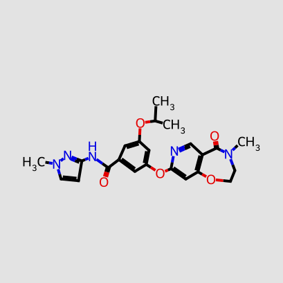 CC(C)Oc1cc(Oc2cc3c(cn2)C(=O)N(C)CCO3)cc(C(=O)Nc2ccn(C)n2)c1